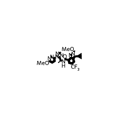 COCn1nc2c(C(=O)N[C@@H](C)c3ncnn3-c3ccc(OC)nn3)cc(C(F)(F)F)cc2c1C1CC1